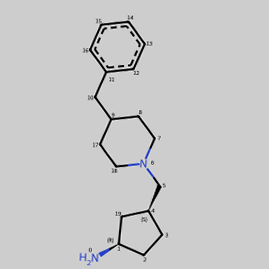 N[C@@H]1CC[C@H](CN2CCC(Cc3ccccc3)CC2)C1